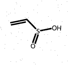 C=CS(=O)O